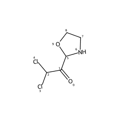 O=C(C(Cl)Cl)C1NCCO1